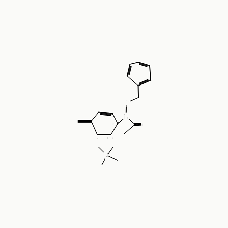 C=C1C=C[C@]2(CC(=O)N2OCc2ccccc2)[C@H](O[Si](C)(C)C)[C@@H]1C